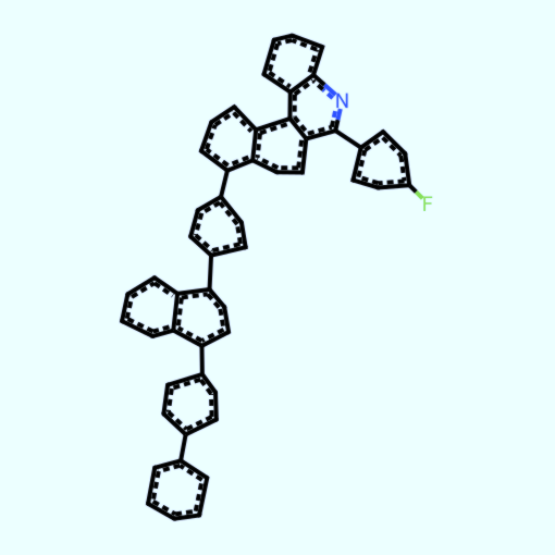 Fc1ccc(-c2nc3ccccc3c3c2ccc2c(-c4ccc(-c5ccc(-c6ccc(-c7ccccc7)cc6)c6ccccc56)cc4)cccc23)cc1